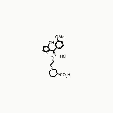 COc1cccc(C(=NOCCN2CCCC(C(=O)O)C2)c2sccc2C)c1.Cl